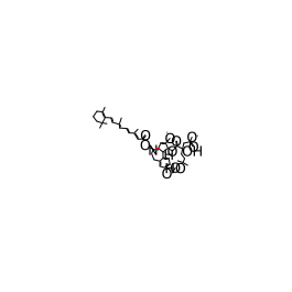 COC(=O)CC(O)(CCC(C)(C)O)C(=O)O[C@@H]1C(OC)=C[C@]23CCC(OC(=O)/C=C(C)/C=C/C=C(C)/C=C/C4=C(C)CCCC4(C)C)N2CCc2cc4c(cc2[C@H]13)OCO4